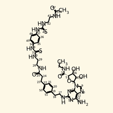 CCNC(=O)[C@H]1OC(n2cnc3c(N)nc(NCCc4ccc(CCC(=O)NCCNC(=S)Nc5ccc(NC(=S)NCCNC(C)=O)cc5)cc4)nc32)[C@@H](O)C1O